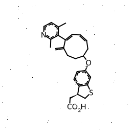 C=C1CCC(Oc2ccc3c(c2)SC[C@H]3CC(=O)O)C/C=C\C=C/1c1c(C)ccnc1C